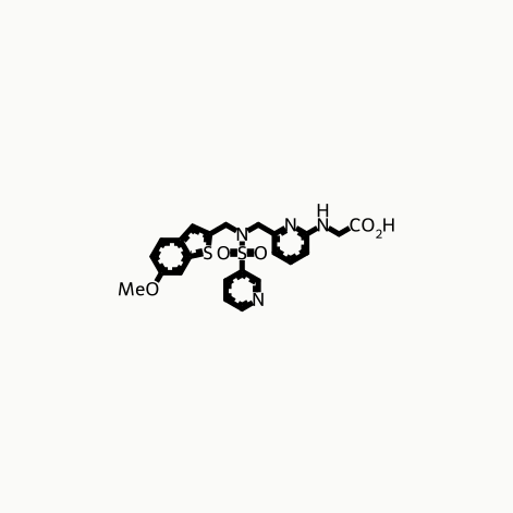 COc1ccc2cc(CN(Cc3cccc(NCC(=O)O)n3)S(=O)(=O)c3cccnc3)sc2c1